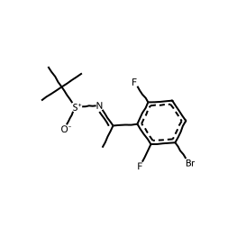 C/C(=N\[S+]([O-])C(C)(C)C)c1c(F)ccc(Br)c1F